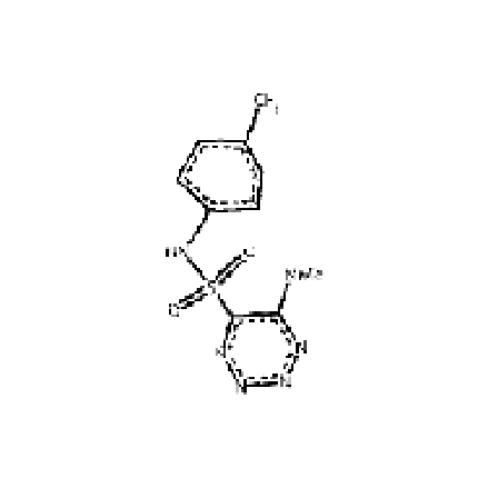 CNc1nnnnc1S(=O)(=O)Nc1ccc(C(F)(F)F)cc1